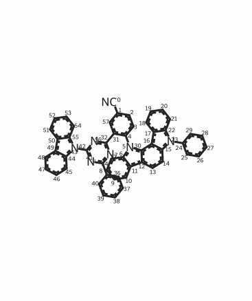 N#Cc1ccc(-n2c3ccccc3c3ccc4c(c5ccccc5n4-c4ccccc4)c32)c(-c2nc(-c3ccccc3)nc(-n3c4ccccc4c4ccccc43)n2)c1